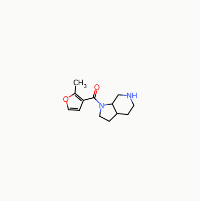 Cc1occc1C(=O)N1CCC2CCNCC21